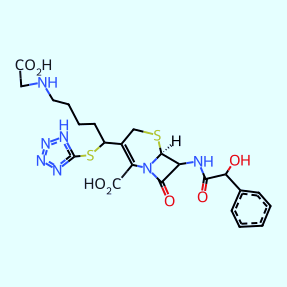 O=C(O)CNCCCCC(Sc1nnn[nH]1)C1=C(C(=O)O)N2C(=O)C(NC(=O)C(O)c3ccccc3)[C@@H]2SC1